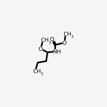 CCCC(NC(=O)OC)OC